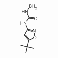 BNC(=O)Nc1cc(C(C)(C)C)on1